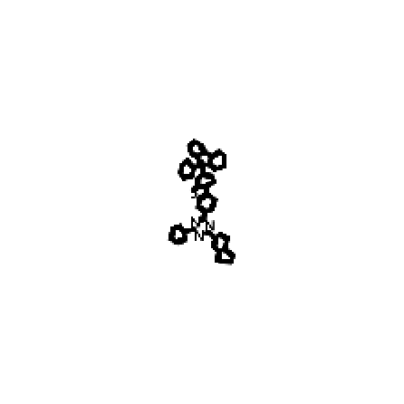 c1ccc(-c2nc(-c3ccc4ccccc4c3)nc(-c3ccc4c(c3)sc3cc(C5(c6ccccc6)c6ccccc6-c6ccccc65)ccc34)n2)cc1